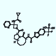 O=C(N[C@H]1CCCC[C@H]2CC[C@@H](C(=O)N3CC(NC(=O)C4CC4)(c4ccccn4)C3)N2C1=O)c1cc2cc(C(F)(F)P(=O)(O)O)ccc2s1